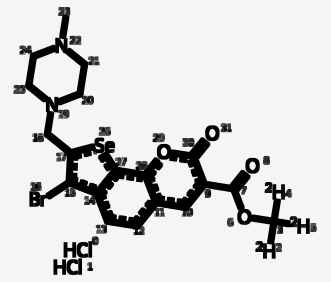 Cl.Cl.[2H]C([2H])([2H])OC(=O)c1cc2ccc3c(Br)c(CN4CCN(C)CC4)[se]c3c2oc1=O